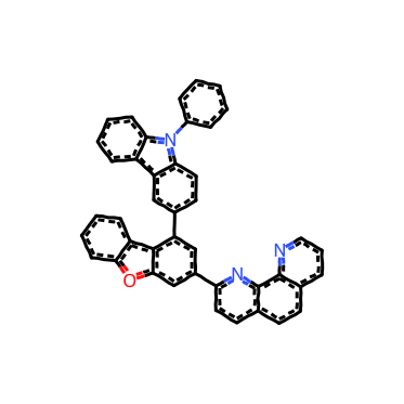 c1ccc(-n2c3ccccc3c3cc(-c4cc(-c5ccc6ccc7cccnc7c6n5)cc5oc6ccccc6c45)ccc32)cc1